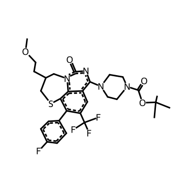 COCCC1CSc2c(-c3ccc(F)cc3)c(C(F)(F)F)cc3c(N4CCN(C(=O)OC(C)(C)C)CC4)nc(=O)n(c23)C1